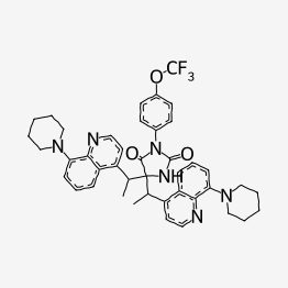 CC(c1ccnc2c(N3CCCCC3)cccc12)C1(C(C)c2ccnc3c(N4CCCCC4)cccc23)NC(=O)N(c2ccc(OC(F)(F)F)cc2)C1=O